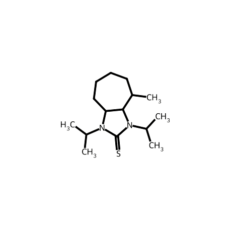 CC1CCCCC2C1N(C(C)C)C(=S)N2C(C)C